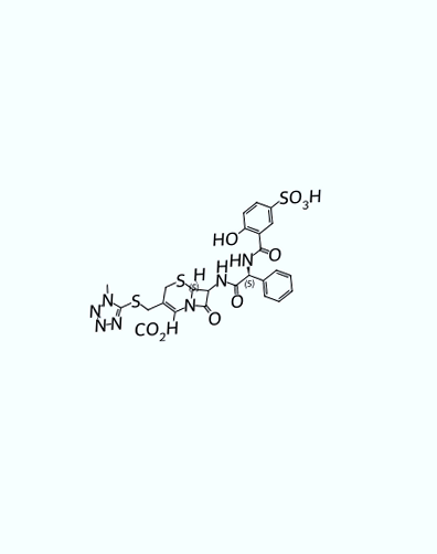 Cn1nnnc1SCC1=C(C(=O)O)N2C(=O)C(NC(=O)[C@@H](NC(=O)c3cc(S(=O)(=O)O)ccc3O)c3ccccc3)[C@@H]2SC1